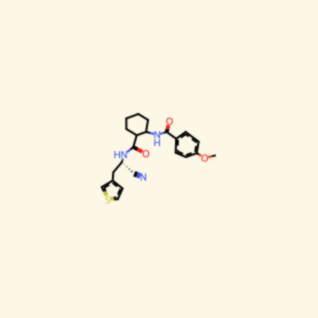 COc1ccc(C(=O)NC2CCCCC2C(=O)N[C@H](C#N)Cc2ccsc2)cc1